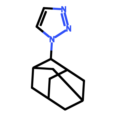 c1cn(C2C3CC4CC(C3)CC2C4)nn1